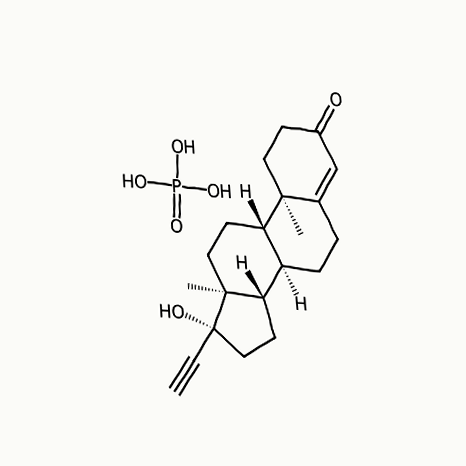 C#C[C@]1(O)CC[C@H]2[C@@H]3CCC4=CC(=O)CC[C@]4(C)[C@H]3CC[C@@]21C.O=P(O)(O)O